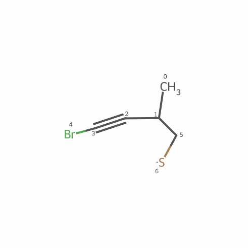 CC(C#CBr)C[S]